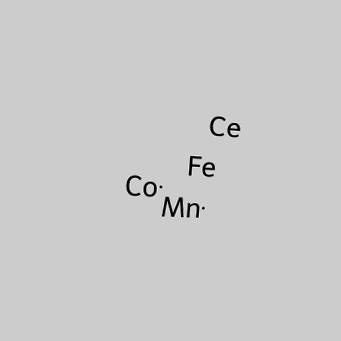 [Ce].[Co].[Fe].[Mn]